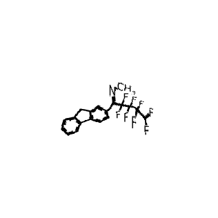 CN=C(c1ccc2c(c1)Cc1ccccc1-2)C(F)(F)C(F)(F)C(F)(F)C(F)F